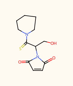 O=C1C=CC(=O)N1C(CO)C(=S)N1CCCCC1